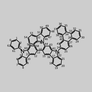 c1ccc(-n2c3ccccc3c3cc(-c4cc5c6ccccc6n(-c6ccc7c8ccccc8c8ccccc8c7c6)c5cc4-n4c5ccccc5c5ccccc54)ccc32)cc1